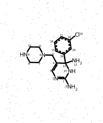 NC1=NC=C(CN2CCNCC2)C(N)(c2cccc(Cl)c2)N1